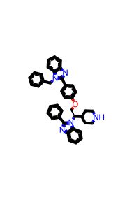 c1ccc(Cn2c(-c3ccc(OC[C@@H](C4CCNCC4)n4c(-c5ccccc5)nc5ccccc54)cc3)nc3ccccc32)cc1